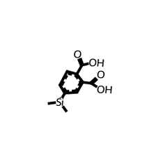 C[Si](C)c1ccc(C(=O)O)c(C(=O)O)c1